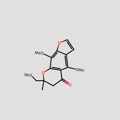 COc1c2c(c(OC)c3occc13)OC(C)(CSC)CC2=O